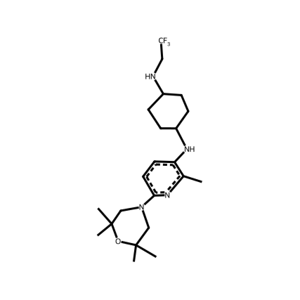 Cc1nc(N2CC(C)(C)OC(C)(C)C2)ccc1NC1CCC(NCC(F)(F)F)CC1